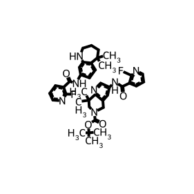 CC(C)(C)OC(=O)N1Cc2cc(NC(=O)c3cccnc3F)cnc2C(C)(C)C1.CC1(C)CCCNc2cc(NC(=O)c3cccnc3F)ccc21